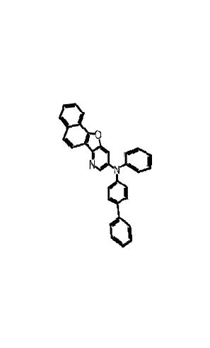 c1ccc(-c2ccc(N(c3ccccc3)c3cnc4c(c3)oc3c5ccccc5ccc43)cc2)cc1